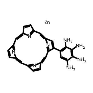 Nc1cc(C2=CC3=CC4=NC(=CC5=NC(=CC6=NC(=CC2=N3)C=C6)C=C5)C=C4)c(N)c(N)c1N.[Zn]